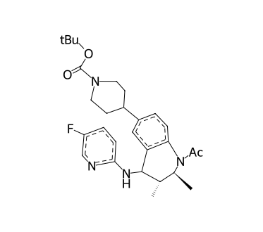 CC(=O)N1c2ccc(C3CCN(C(=O)OC(C)(C)C)CC3)cc2C(Nc2ccc(F)cn2)[C@@H](C)[C@@H]1C